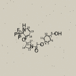 O=C(COc1ccc(CO)cc1)N1CCC(OC2=CC=CNC2C(F)(F)F)C1